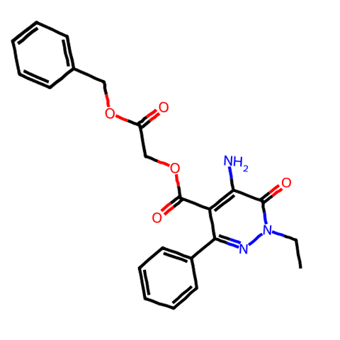 CCn1nc(-c2ccccc2)c(C(=O)OCC(=O)OCc2ccccc2)c(N)c1=O